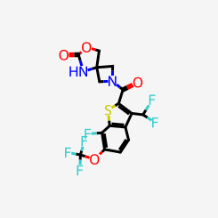 O=C1NC2(CO1)CN(C(=O)c1sc3c(F)c(OC(F)(F)F)ccc3c1C(F)F)C2